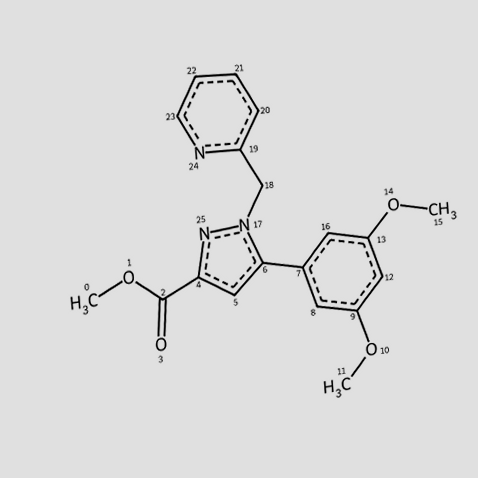 COC(=O)c1cc(-c2cc(OC)cc(OC)c2)n(Cc2ccccn2)n1